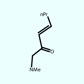 [CH2]CCC=CC(=O)CNC